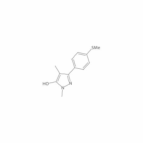 CSc1ccc(-c2nn(C)c(O)c2C)cc1